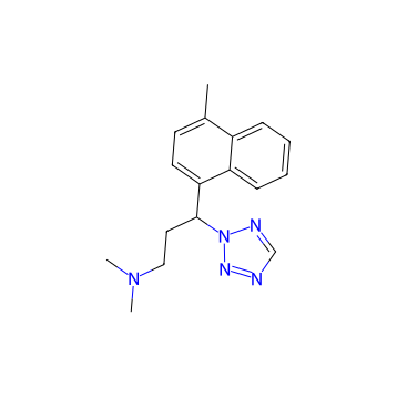 Cc1ccc(C(CCN(C)C)n2ncnn2)c2ccccc12